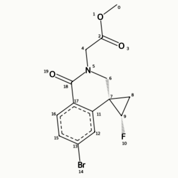 COC(=O)CN1C[C@@]2(C[C@@H]2F)c2cc(Br)ccc2C1=O